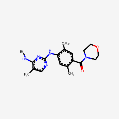 CCNc1nc(Nc2cc(C)c(C(=O)N3CCOCC3)cc2OC)ncc1C(F)(F)F